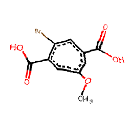 COc1cc(C(=O)O)c(Br)cc1C(=O)O